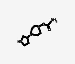 NC(=O)ON1CCN(C2CCNC2)CC1